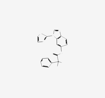 CC(O)(C(=O)Nc1ccc2ncn(-c3nccs3)c2c1)c1ccccc1